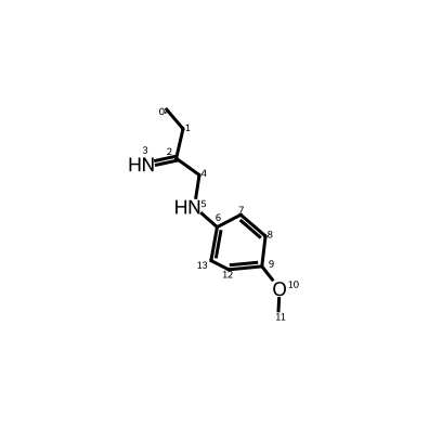 [CH2]CC(=N)CNc1ccc(OC)cc1